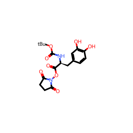 CC(C)(C)OC(=O)N[C@@H](Cc1ccc(O)c(O)c1)C(=O)ON1C(=O)CCC1=O